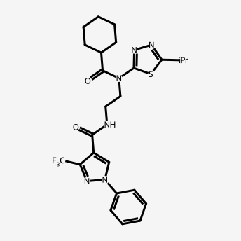 CC(C)c1nnc(N(CCNC(=O)c2cn(-c3ccccc3)nc2C(F)(F)F)C(=O)C2CCCCC2)s1